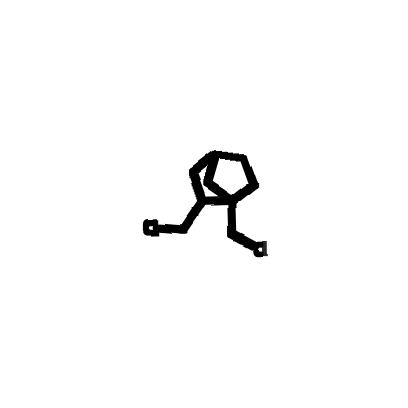 ClCC1CC2CCC1(CCl)C2